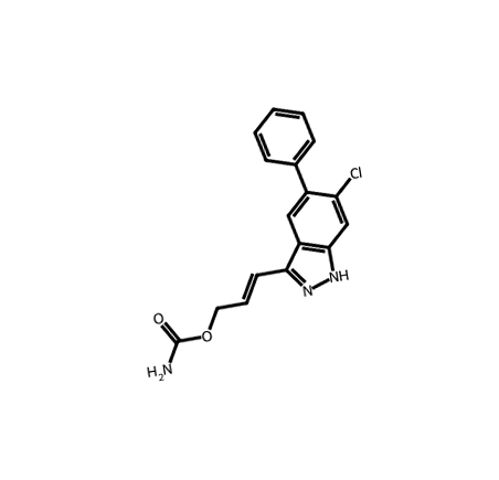 NC(=O)OCC=Cc1n[nH]c2cc(Cl)c(-c3ccccc3)cc12